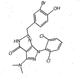 CN(C)c1nn(-c2c(Cl)cccc2Cl)c2nc(Cc3ccc(O)c(Br)c3)[nH]c(=O)c12